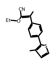 CCOC(C#N)=C(C)c1ccc(-c2sccc2C)cc1